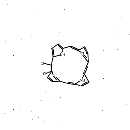 ClC1c2ccc([nH]2)C=C2C=CC(=N2)C=c2ccc([nH]2)=CC2=NC1(Cl)C=C2